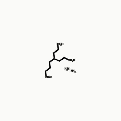 CCCCCCCCCCCCN(CCC(=O)O)CCC(=O)O.N.N